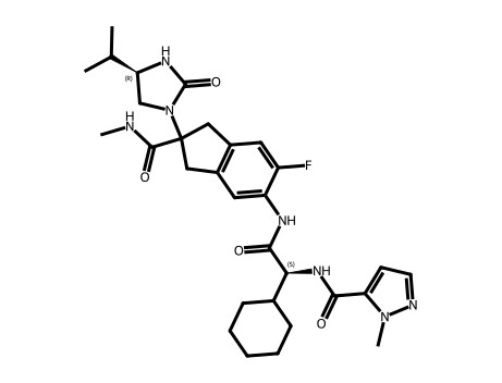 CNC(=O)C1(N2C[C@@H](C(C)C)NC2=O)Cc2cc(F)c(NC(=O)[C@@H](NC(=O)c3ccnn3C)C3CCCCC3)cc2C1